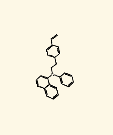 C=Cc1ccc(CCN(c2ccccc2)c2cccc3ccccc23)cc1